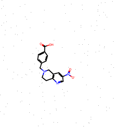 O=C(O)c1ccc(CN2CCc3ncc([N+](=O)[O-])cc3C2)cc1